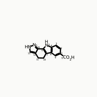 O=C(O)c1ccc2[nH]c3c(c2c1)CCc1c[nH]nc1-3